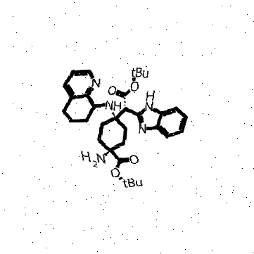 CC(C)(C)OC(=O)[C@H](c1nc2ccccc2[nH]1)[C@]1(NC2CCCc3cccnc32)CC[C@@](N)(C(=O)OC(C)(C)C)CC1